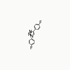 Fc1ccc(-c2cn(-c3ccc(F)cc3)nn2)cc1